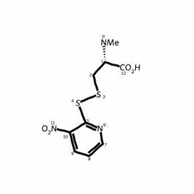 CN[C@@H](CSSc1ncccc1[N+](=O)[O-])C(=O)O